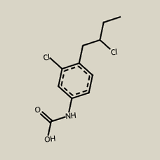 CCC(Cl)Cc1ccc(NC(=O)O)cc1Cl